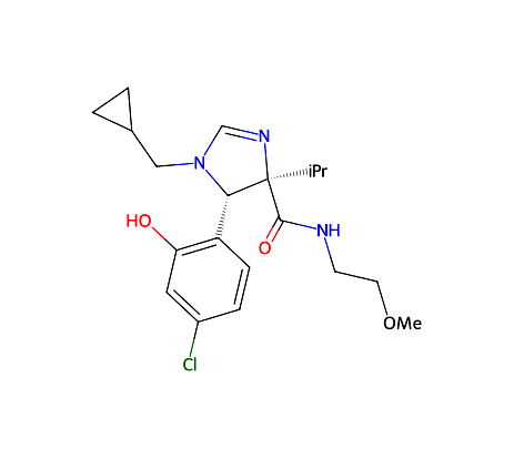 COCCNC(=O)[C@]1(C(C)C)N=CN(CC2CC2)[C@H]1c1ccc(Cl)cc1O